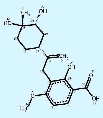 C=C(Cc1c(OC)ccc(C(=O)O)c1O)[C@@H]1CC[C@](C)(O)[C@H](O)C1